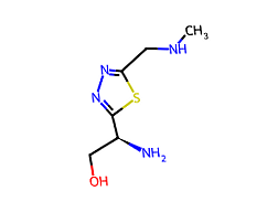 CNCc1nnc([C@@H](N)CO)s1